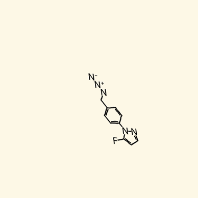 [N-]=[N+]=NCc1ccc(-n2nccc2F)cc1